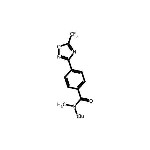 CN(C(=O)c1ccc(-c2noc(C(F)(F)F)n2)cc1)C(C)(C)C